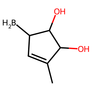 BC1C=C(C)C(O)C1O